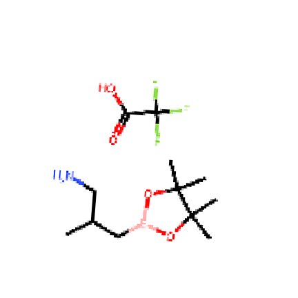 CC(CN)CB1OC(C)(C)C(C)(C)O1.O=C(O)C(F)(F)F